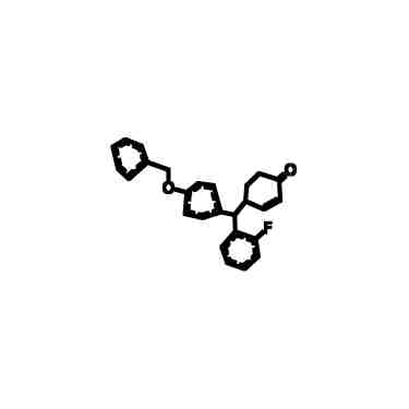 O=C1C=CC(C(c2ccc(OCc3ccccc3)cc2)c2ccccc2F)CC1